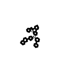 c1ccc(-c2cccc(N(c3ccc(-c4ccc5ccccc5c4)cc3)c3ccc(-c4ccccc4-c4cc5ccccc5o4)cc3)c2)cc1